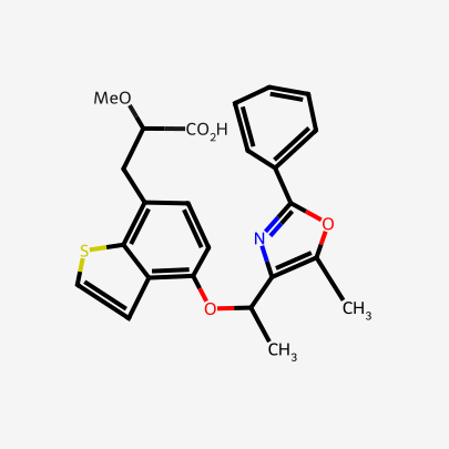 COC(Cc1ccc(OC(C)c2nc(-c3ccccc3)oc2C)c2ccsc12)C(=O)O